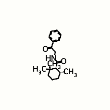 C[C@@H]1CCCC(C)(C)[C@@H]1C(=O)NCC(=O)c1ccccc1